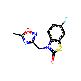 Cc1nc(Cn2c(=O)sc3cc(F)ccc32)no1